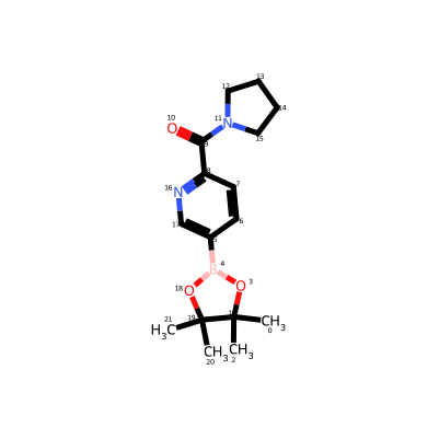 CC1(C)OB(c2ccc(C(=O)N3CCCC3)nc2)OC1(C)C